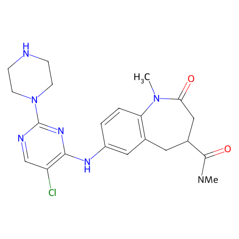 CNC(=O)C1CC(=O)N(C)c2ccc(Nc3nc(N4CCNCC4)ncc3Cl)cc2C1